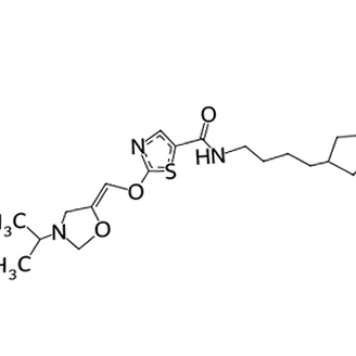 CC(C)N1COC(=COc2ncc(C(=O)NCCCCC3CCCC3)s2)C1